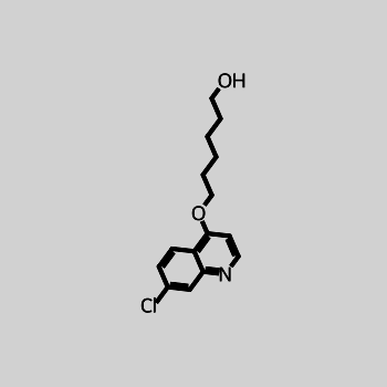 OCCCCCCOc1ccnc2cc(Cl)ccc12